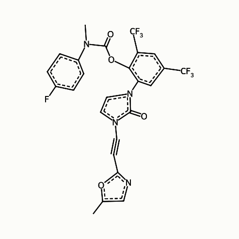 Cc1cnc(C#Cn2ccn(-c3cc(C(F)(F)F)cc(C(F)(F)F)c3OC(=O)N(C)c3ccc(F)cc3)c2=O)o1